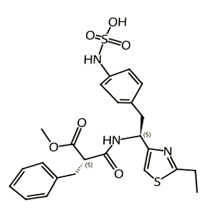 CCc1nc([C@H](Cc2ccc(NS(=O)(=O)O)cc2)NC(=O)[C@H](Cc2ccccc2)C(=O)OC)cs1